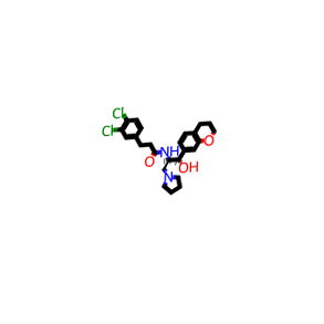 O=C(CCc1ccc(Cl)c(Cl)c1)N[C@H](CN1CCCC1)[C@H](O)c1ccc2c(c1)OCCC2